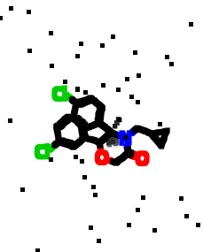 C[C@@]1(c2ccc(Cl)cc2)C(c2cccc(Cl)c2)OCC(=O)N1CC1CC1